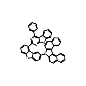 c1ccc(-c2nc(-c3cccc4oc5ccc(-n6c7ccc8ccccc8c7c7c8ccccc8ccc76)cc5c34)nc3sc4ccccc4c23)cc1